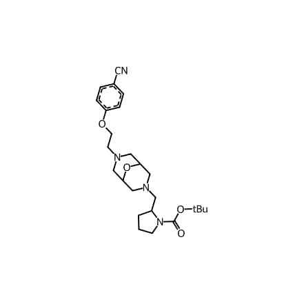 CC(C)(C)OC(=O)N1CCCC1CN1CC2CN(CCOc3ccc(C#N)cc3)CC(C1)O2